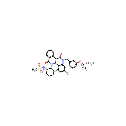 C[C@H](Oc1cccc(CNC(=O)C2c3ccccc3C(=O)N(C3CCCCC3NS(C)(=O)=O)C2c2ccc(Cl)cc2Cl)c1)C(=O)O